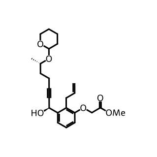 C=CCc1c(OCC(=O)OC)cccc1[C@@H](O)C#CCC[C@H](C)OC1CCCCO1